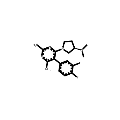 CN(C)[C@@H]1CCN(c2nc(N)nc(N)c2-c2ccc(F)c(F)c2)C1